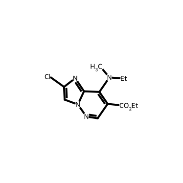 CCOC(=O)c1cnn2cc(Cl)nc2c1N(C)CC